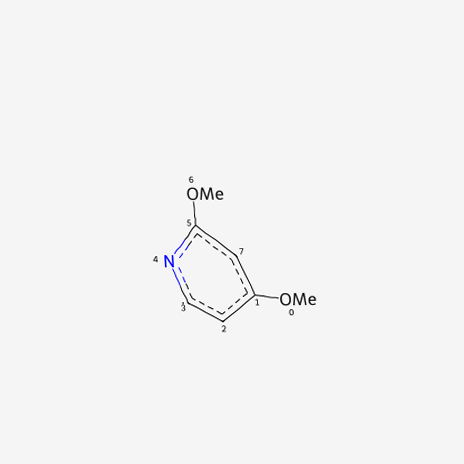 COc1c[c]nc(OC)c1